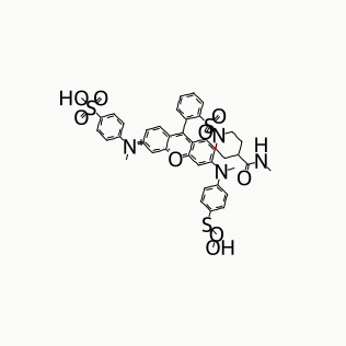 CNC(=O)C1CCN(S(=O)(=O)c2ccccc2-c2c3cc/c(=[N+](/C)c4ccc(S(=O)(=O)O)cc4)cc-3oc3cc(N(C)c4ccc(SOO)cc4)ccc23)CC1